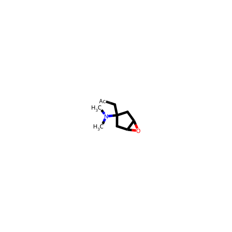 CC(=O)CC1(N(C)C)CC2OC2C1